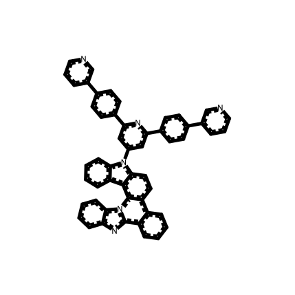 c1cncc(-c2ccc(-c3cc(-n4c5ccccc5c5c4ccc4c6ccccc6c6nc7ccccc7n6c45)cc(-c4ccc(-c5cccnc5)cc4)n3)cc2)c1